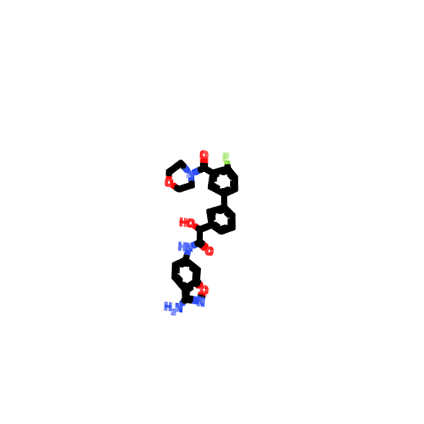 Nc1noc2cc(NC(=O)C(O)c3cccc(-c4ccc(F)c(C(=O)N5CCOCC5)c4)c3)ccc12